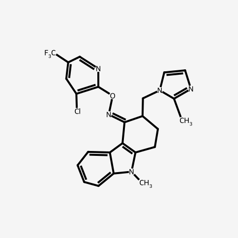 Cc1nccn1CC1CCc2c(c3ccccc3n2C)C1=NOc1ncc(C(F)(F)F)cc1Cl